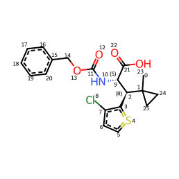 CC1([C@@H](c2sccc2Cl)[C@H](NC(=O)OCc2ccccc2)C(=O)O)CC1